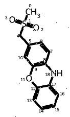 CS(=O)(=O)Cc1ccc2c(c1)Oc1ccccc1N2